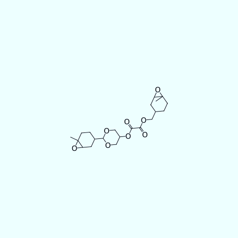 CC12CCC(COC(=O)C(=O)OC3COC(C4CCC5(C)OC5C4)OC3)CC1O2